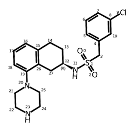 O=S(=O)(Cc1cccc(Cl)c1)N[C@@H]1CCc2cccc(N3CCNCC3)c2C1